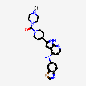 CCN1CCN(C(=O)N2CC=C(c3cc4c(Nc5ccc6ncsc6c5)ccnc4[nH]3)CC2)CC1